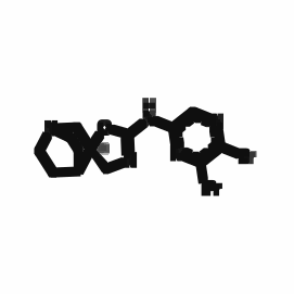 CC(C)c1nc(NC2=NC[C@@]3(CN4CCC3CC4)O2)cnc1Br